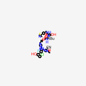 C=CC(=O)N1CCN(c2nc(N3CCN(CC4CC(OCC(=O)N[C@H](C(=O)N5C[C@H](O)C[C@H]5C(=O)N[C@@H](C)c5ccc(-c6scnc6C)cc5)C(C)(C)C)C4)CC3)nc3c(F)c(-c4cc(O)cc5ccccc45)c(Cl)cc23)C[C@@H]1CC#N